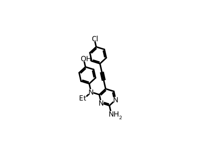 CCN(c1ccc(O)cc1)c1nc(N)ncc1C#Cc1ccc(Cl)cc1